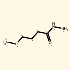 NNC(=O)CCCON